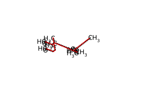 CCCCC/C=C\C/C=C\CCCCCCCC(=O)O.CCCCC/C=C\C/C=C\CCCCCCCC(=O)O.CCCCCCCCCCCCCCCCCCCCCC(=O)NC(CCN(C)C)NC(=O)CCCCCCCCCCCCCCCCCCCCC